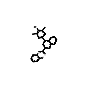 Cc1cc(-c2cc(C(=O)Oc3ccccc3F)cc3ccccc23)cc(C)c1O